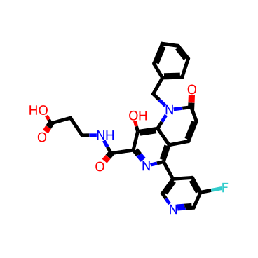 O=C(O)CCNC(=O)c1nc(-c2cncc(F)c2)c2ccc(=O)n(Cc3ccccc3)c2c1O